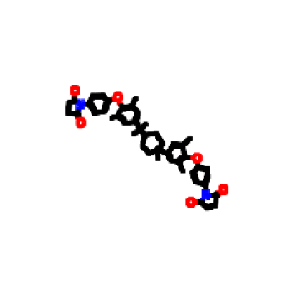 Cc1cc(C2(C)CCC(C(C)(C)c3cc(C)c(Oc4ccc(N5C(=O)C=CC5=O)cc4)c(C)c3)CC2)cc(C)c1Oc1ccc(N2C(=O)C=CC2=O)cc1